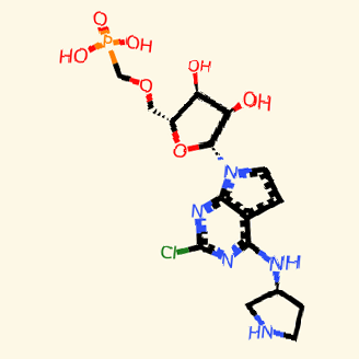 O=P(O)(O)COC[C@H]1O[C@@H](n2ccc3c(N[C@H]4CCNC4)nc(Cl)nc32)[C@H](O)[C@@H]1O